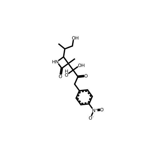 CC(CO)C1NC(=O)C1(C)C(O)(O)C(=O)Cc1ccc([N+](=O)[O-])cc1